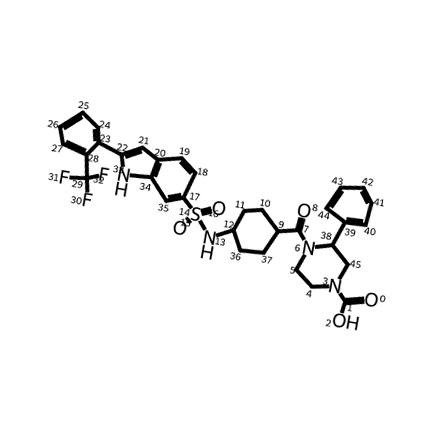 O=C(O)N1CCN(C(=O)C2CCC(NS(=O)(=O)c3ccc4cc(-c5ccccc5C(F)(F)F)[nH]c4c3)CC2)C(c2ccccc2)C1